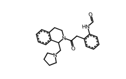 O=CNc1ccccc1CC(=O)N1CCc2ccccc2C1CN1CCCC1